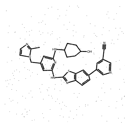 Cc1nccn1Cc1cc(Nc2nc3ccc(-c4cncc(C#N)c4)cc3s2)nc(NC2CCC(O)CC2)c1